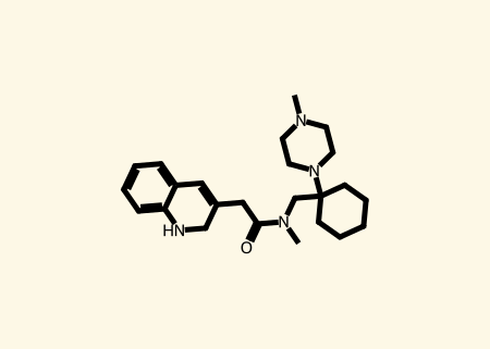 CN1CCN(C2(CN(C)C(=O)CC3=Cc4ccccc4NC3)CCCCC2)CC1